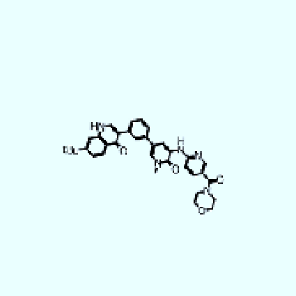 Cn1cc(-c2cccc(-c3c[nH]c4cc(C(C)(C)C)ccc4c3=O)c2)cc(Nc2ccc(C(=O)N3CCOCC3)cn2)c1=O